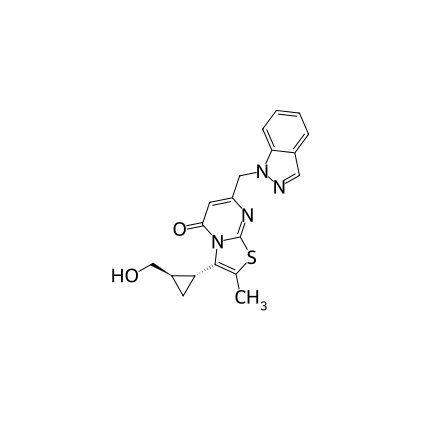 Cc1sc2nc(Cn3ncc4ccccc43)cc(=O)n2c1[C@@H]1C[C@H]1CO